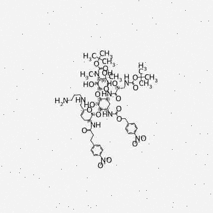 CN(C(=O)OC(C)(C)C)[C@@H]1[C@@H](O)[C@@H](O[C@@H]2[C@@H](O)[C@H](O[C@H]3OC(CNCCCN)=CC[C@H]3NC(=O)CCc3ccc([N+](=O)[O-])cc3)[C@@H](NC(=O)OCc3ccc([N+](=O)[O-])cc3)C[C@H]2NC(=O)[C@@H](O)CNC(=O)OC(C)(C)C)OC[C@]1(C)O